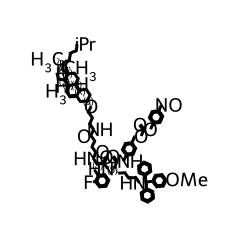 COc1ccc(C(NCCCC[C@H](NC(=O)[C@H](Cc2ccccc2F)NC(=O)CCC(=O)NCCCO[C@H]2CC[C@@]3(C)C(=CC[C@H]4[C@@H]5CC[C@H]([C@H](C)CCCC(C)C)[C@@]5(C)CC[C@@H]43)C2)C(=O)Nc2ccc(COC(=O)Oc3ccc(N=O)cc3)cc2)(c2ccccc2)c2ccccc2)cc1